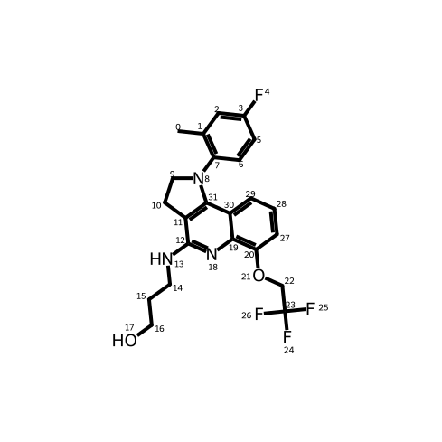 Cc1cc(F)ccc1N1CCc2c(NCCCO)nc3c(OCC(F)(F)F)cccc3c21